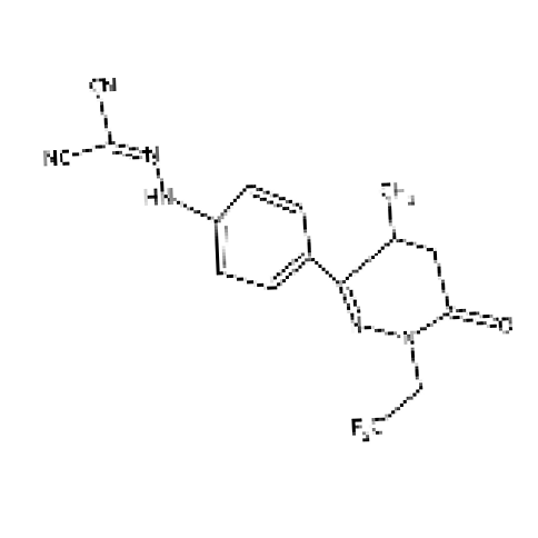 CC1CC(=O)N(CC(F)(F)F)N=C1c1ccc(NN=C(C#N)C#N)cc1